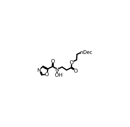 CCCCCCCCCCCCOC(=O)CCN(O)C(=O)c1cnco1